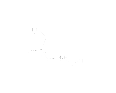 C=C/C(Br)=C\NOC